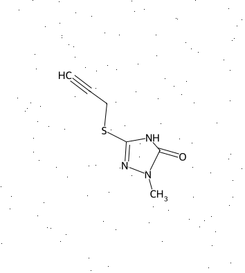 C#CCSc1nn(C)c(=O)[nH]1